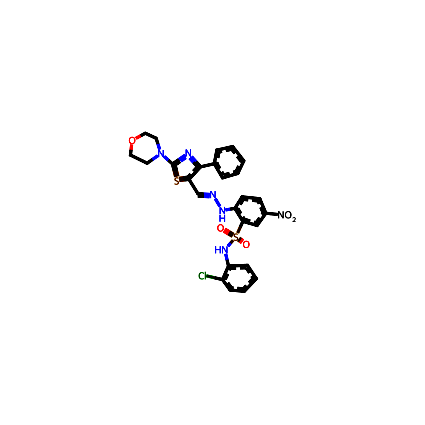 O=[N+]([O-])c1ccc(NN=Cc2sc(N3CCOCC3)nc2-c2ccccc2)c(S(=O)(=O)Nc2ccccc2Cl)c1